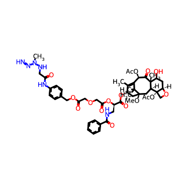 CO[C@]12C[C@H](OC(=O)[C@@H](CNC(=O)c3ccccc3)OC(=O)COCC(=O)OCc3ccc(NC(=O)CNN(C)N=N)cc3)C(C)=C([C@@H](OC(C)=O)C(=O)[C@@]3(C)[C@H](C1)[C@]1(OC(C)=O)CO[C@@H]1C[C@@H]3O)C2(C)C